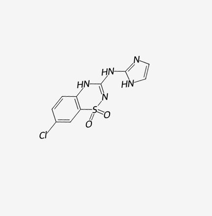 O=S1(=O)N=C(Nc2ncc[nH]2)Nc2ccc(Cl)cc21